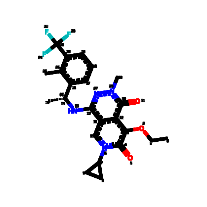 CCOc1c(=O)n(C2CC2)cc2c(N[C@H](C)c3cccc(C(F)(F)F)c3C)nn(C)c(=O)c12